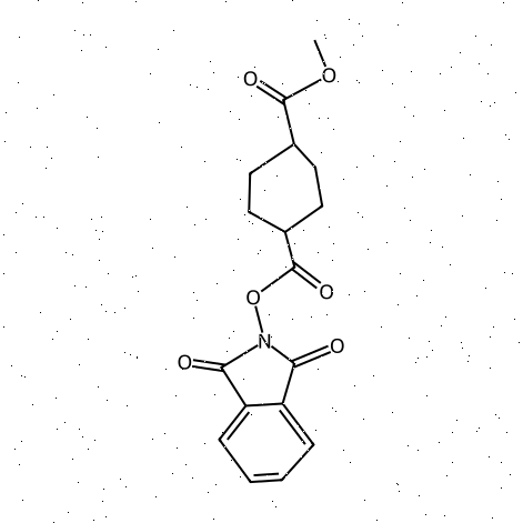 COC(=O)C1CCC(C(=O)ON2C(=O)c3ccccc3C2=O)CC1